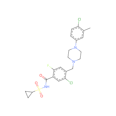 Cc1cc(N2CCN(Cc3cc(F)c(C(=O)NS(=O)(=O)C4CC4)cc3Cl)CC2)ccc1Cl